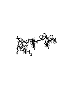 C=CC=C[C@H](C)[C@H](OC(N)=O)[C@@H](C)[C@H](O[Si](C)(C)C(C)(C)C)[C@@H](C)C(=O)CNC[C@H](C)[C@@H](O[Si](C)(C)C(C)(C)C)[C@@H](C)C=C[C@@H](O)CC(=O)[C@H](C)[C@H](O[Si](C)(C)C(C)(C)C)[C@@H](C)C(=O)N(C)OC